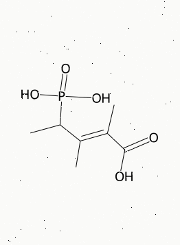 CC(C(=O)O)=C(C)C(C)P(=O)(O)O